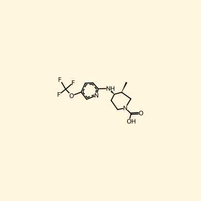 C[C@H]1CN(C(=O)O)CC[C@H]1Nc1ccc(OC(F)(F)F)cn1